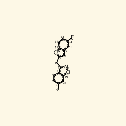 Cc1ccc2c(Cc3cc4cc(F)ccc4o3)noc2c1